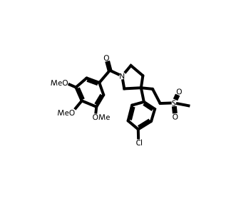 COc1cc(C(=O)N2CCC(CCS(C)(=O)=O)(c3ccc(Cl)cc3)C2)cc(OC)c1OC